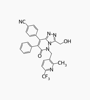 Cc1nc(C(F)(F)F)ccc1Cn1c(=O)c(-c2ccccc2)c(-c2ccc(C#N)cc2)c2nnc(CO)n21